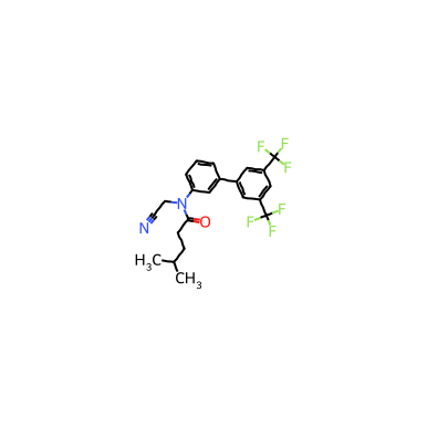 CC(C)CCC(=O)N(CC#N)c1cccc(-c2cc(C(F)(F)F)cc(C(F)(F)F)c2)c1